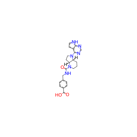 O=C(O)c1ccc(CNC(=O)N2CCC[C@@H]3[C@H]2CCN3c2ncnc3[nH]ccc23)cc1